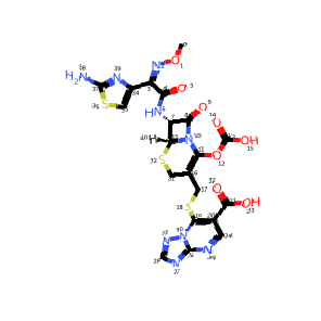 CO/N=C(\C(=O)N[C@@H]1C(=O)N2C(OC(=O)O)=C(CSc3c(C(=O)O)cnc4ncnn34)CS[C@H]12)c1csc(N)n1